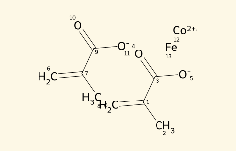 C=C(C)C(=O)[O-].C=C(C)C(=O)[O-].[Co+2].[Fe]